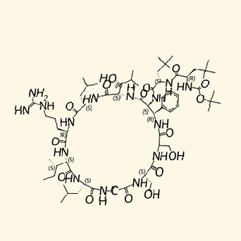 CC[C@H](C)[C@@H]1NC(=O)[C@@H](CCCNC(=N)N)NC(=O)[C@H](CC(C)C)NC(=O)[C@H]([C@H](O)C(C)C)NC(=O)[C@@H](NC(=O)[C@H](CC(C)(C)C)NC(=O)[C@@H](CC(C)(C)C)NC(=O)OC(C)(C)C)[C@@H](c2ccccc2)NC(=O)C(CO)NC(=O)[C@H](CO)NC(=O)CNC(=O)[C@H](CC(C)C)NC1=O